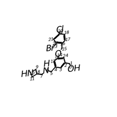 OCc1cc(CNCC2CNC2)cc(OCc2ccc(Cl)cc2Br)c1